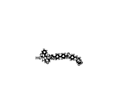 O=C(O)N[C@H](C(=O)N1CCOC[C@H]1c1ncc(-c2ccc(-c3ccc(C(=O)Nc4ccc(CN5CCS(=O)(=O)CC5)cc4)cc3)cc2)[nH]1)c1ccccc1